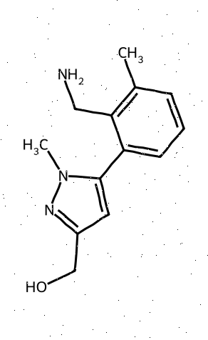 Cc1cccc(-c2cc(CO)nn2C)c1CN